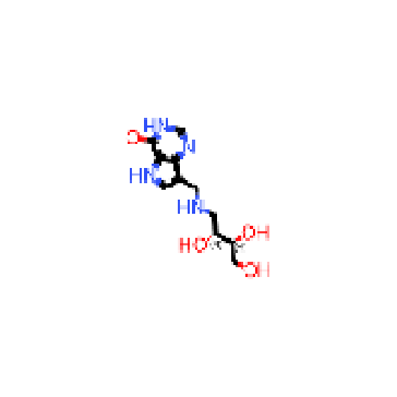 O=c1[nH]cnc2c(CNC[C@@H](O)[C@@H](O)CO)c[nH]c12